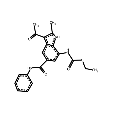 CCOC(=O)Nc1cc(C(=O)Nc2ccccc2)cc2c(C(C)=O)c(C)[nH]c12